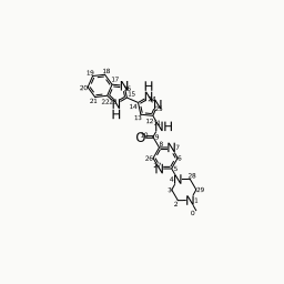 CN1CCN(c2cnc(C(=O)Nc3cc(-c4nc5ccccc5[nH]4)[nH]n3)cn2)CC1